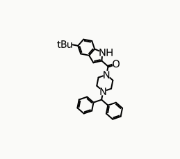 CC(C)(C)c1ccc2[nH]c(C(=O)N3CCN(C(c4ccccc4)c4ccccc4)CC3)cc2c1